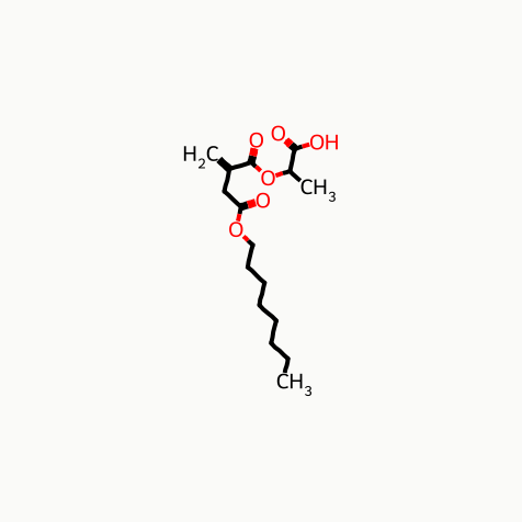 C=C(CC(=O)OCCCCCCCC)C(=O)OC(C)C(=O)O